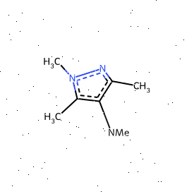 CNc1c(C)nn(C)c1C